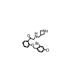 O=C(CNCC1CNC1)c1ccccc1OCc1ccc(Cl)cc1Br